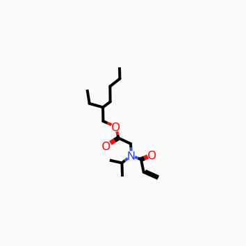 C=CC(=O)N(CC(=O)OCC(CC)CCCC)C(C)C